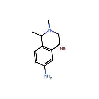 Br.CC1c2ccc(N)cc2CCN1C